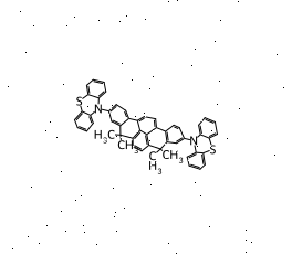 CC1(C)c2cc(N3c4ccccc4Sc4ccccc43)ccc2-c2ccc3c4c(ccc1c24)C(C)(C)c1cc(N2c4ccccc4Sc4ccccc42)ccc1-3